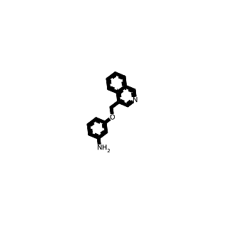 Nc1cccc(OCc2cncc3ccccc23)c1